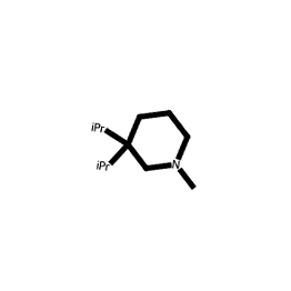 CC(C)C1(C(C)C)CCCN(C)C1